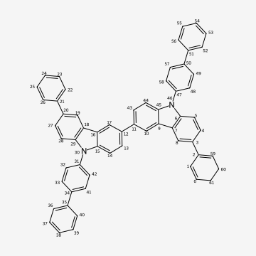 C1=CC(c2ccc3c(c2)c2cc(-c4ccc5c(c4)c4cc(-c6ccccc6)ccc4n5-c4ccc(-c5ccccc5)cc4)ccc2n3-c2ccc(-c3ccccc3)cc2)=CCC1